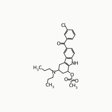 CCCN(CCC)C1Cc2c([nH]c3ccc(C(=O)c4cccc(Cl)c4)cc23)C(OS(C)(=O)=O)C1